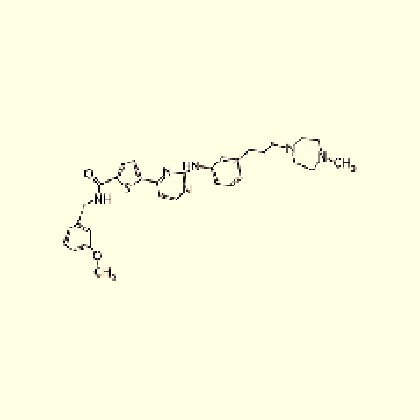 COc1cccc(CNC(=O)c2ccc(-c3ccnc(Nc4cccc(CCCN5CCN(C)CC5)c4)n3)s2)c1